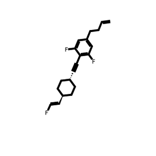 C=CCCc1cc(F)c(C#C[C@H]2CC[C@H](C=CF)CC2)c(F)c1